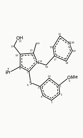 COc1cccc(Sc2c(C(C)C)c(CO)c(C)n2Cc2ccncc2)c1